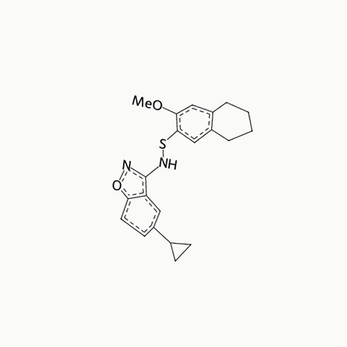 COc1cc2c(cc1SNc1noc3ccc(C4CC4)cc13)CCCC2